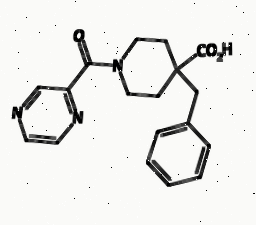 O=C(c1cnccn1)N1CCC(Cc2ccccc2)(C(=O)O)CC1